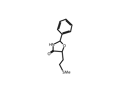 CSCCC1OC(c2ccccc2)NC1=O